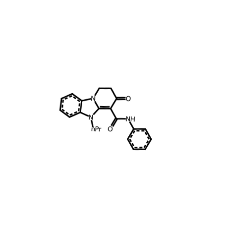 CCCN1C2=C(C(=O)Nc3ccccc3)C(=O)CCN2c2ccccc21